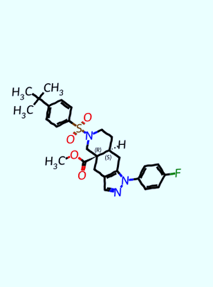 COC(=O)[C@]12Cc3cnn(-c4ccc(F)cc4)c3C[C@@H]1CCN(S(=O)(=O)c1ccc(C(C)(C)C)cc1)C2